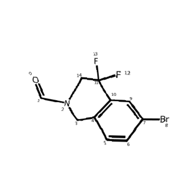 O=CN1Cc2ccc(Br)cc2C(F)(F)C1